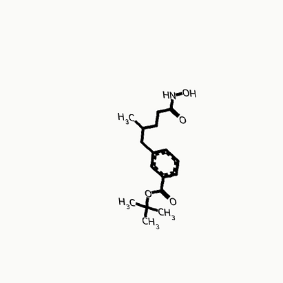 CC(CCC(=O)NO)Cc1cccc(C(=O)OC(C)(C)C)c1